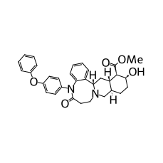 COC(=O)[C@@H]1[C@H]2C[C@H]3c4ccccc4N(c4ccc(Oc5ccccc5)cc4)C(=O)CCN3C[C@@H]2CC[C@@H]1O